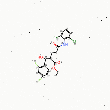 CCOC(=O)C(CCC(=O)Nc1c(Cl)cccc1Cl)C(O)c1ccc(F)cc1F